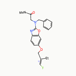 CC/C(=C\F)COc1ccc2nc(N(CC(=O)NC)Cc3ccccc3)oc2c1